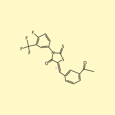 CC(=O)c1cccc(/C=C2\SC(=S)N(c3ccc(F)c(C(F)(F)F)c3)C2=O)c1